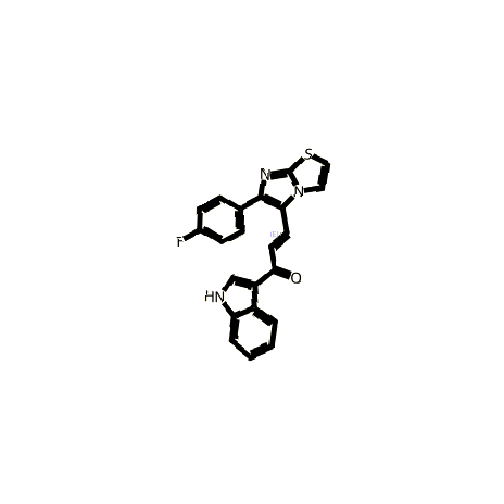 O=C(/C=C/c1c(-c2ccc(F)cc2)nc2sccn12)c1c[nH]c2ccccc12